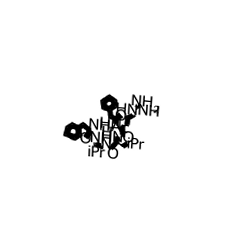 CC(=O)N[C@H](Cc1ccccc1)C(=O)NC[C@@H](NC(=O)[C@H](CC(C)C)NC(=O)[C@H](CCCNC(=N)N)NC(=O)Cc1ccccc1)C(C)C